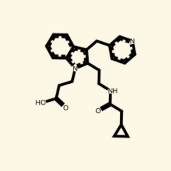 O=C(O)CCn1c(CCNC(=O)CC2CC2)c(Cc2cccnc2)c2ccccc21